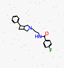 O=C(NCCCN1CC2CC(c3ccccc3)C2C1)c1ccc(F)cc1